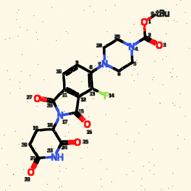 CC(C)(C)OC(=O)N1CCN(c2ccc3c(c2F)C(=O)N(C2CCC(=O)NC2=O)C3=O)CC1